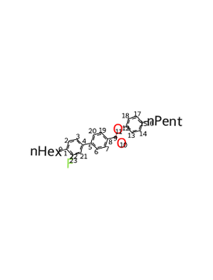 CCCCCCc1ccc(-c2ccc(C(=O)Oc3ccc(CCCCC)cc3)cc2)cc1F